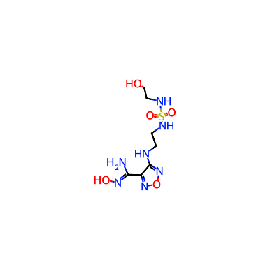 NC(=NO)c1nonc1NCCNS(=O)(=O)NCCO